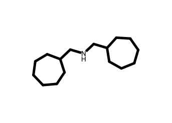 C1CCCC(CNCC2CCCCCC2)CC1